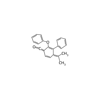 CC(C)=c1ccc(=C=O)c(Oc2ccccc2)c1-c1ccccc1